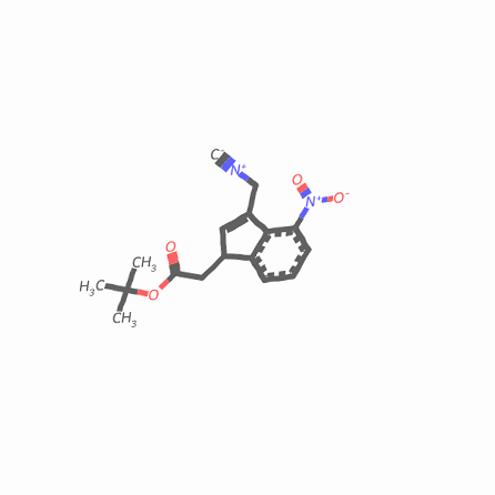 [C-]#[N+]CC1=CC(CC(=O)OC(C)(C)C)c2cccc([N+](=O)[O-])c21